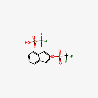 O=S(=O)(O)C(F)(F)F.O=S(=O)(O)C(F)(F)F.c1ccc2ccccc2c1